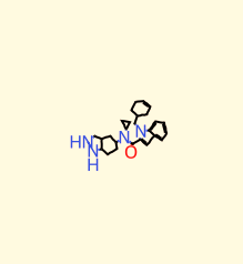 O=C(c1cc2ccccc2n1CC1CC=CCC1)N(C1CC1)C1CCC2NNCC2C1